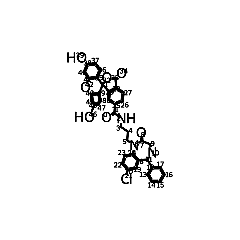 O=C(NCCCN1C(=O)CN=C(c2ccccc2)c2cc(Cl)ccc21)c1ccc2c(c1)C1(OC2=O)c2ccc(O)cc2Oc2cc(O)ccc21